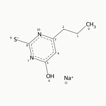 CCCc1cc(O)nc([S-])n1.[Na+]